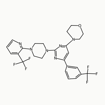 FC(F)(F)c1cccc(-c2cc(N3CCOCC3)nc(N3CCN(c4ncccc4C(F)(F)F)CC3)n2)c1